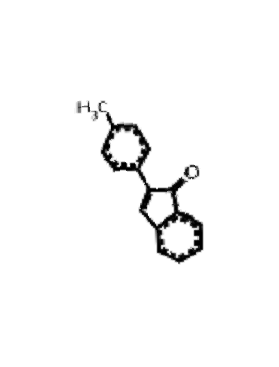 Cc1ccc(C2=Cc3ccccc3C2=O)cc1